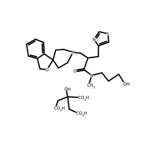 CN(CCCO)C(=O)C(Cc1cscn1)CN1CCC2(CC1)OCc1ccccc12.O=C(O)CC(O)(CC(=O)O)C(=O)O